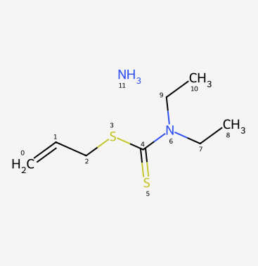 C=CCSC(=S)N(CC)CC.N